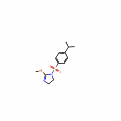 CSC1=NCCN1S(=O)(=O)c1ccc(C(C)C)cc1